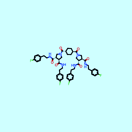 O=C(NCCc1ccc(F)cc1)[C@@H]1CN(C(=O)[C@H]2CC[C@H](C(=O)N3C[C@@H](C(=O)NCCc4ccc(F)cc4)[C@H](C(=O)NCCc4ccc(F)cc4)C3)CC2)C[C@H]1C(=O)NCCc1ccc(F)cc1